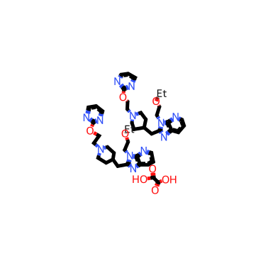 CCOCCn1c(CC2CCN(CCOc3ncccn3)CC2)nc2cccnc21.CCOCCn1c(CC2CCN(CCOc3ncccn3)CC2)nc2cccnc21.O=C(O)C(=O)O